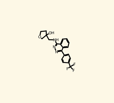 OC1(CNc2nnc(-c3ccc(C(F)(F)F)cc3)c3ccccc23)CCOC1